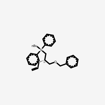 C=CC[C@@H](COCc1ccccc1)C[Si](CCCC)(c1ccccc1)c1ccccc1